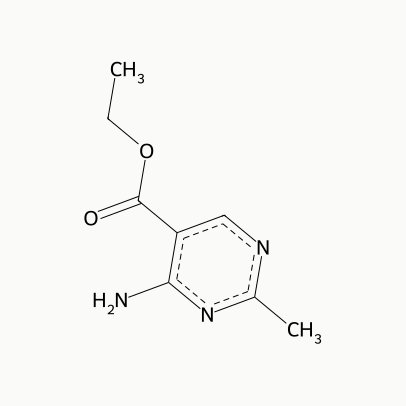 CCOC(=O)c1cnc(C)nc1N